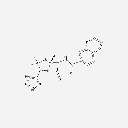 CC1(C)S[C@@H]2C(NC(=O)c3ccc4ccccc4c3)C(=O)N2C1c1nnn[nH]1